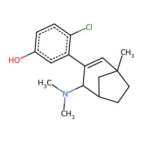 CN(C)C1C(c2cc(O)ccc2Cl)=CC2(C)CCC1C2